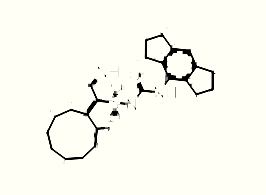 N=C/C(=C1\CCCCCCCC1F)S(=O)(=O)NC(=O)Nc1c2c(cc3c1CCC3)CCC2